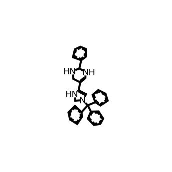 C1=C(C2=CN(C(c3ccccc3)(c3ccccc3)c3ccccc3)CN2)CNC(c2ccccc2)N1